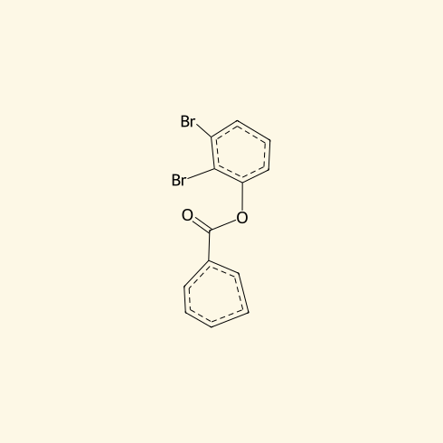 O=C(Oc1cccc(Br)c1Br)c1ccccc1